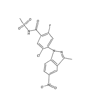 Cc1nn(-c2cc(F)c(C(=O)NS(C)(=O)=O)cc2Cl)c2ccc([N+](=O)[O-])cc12